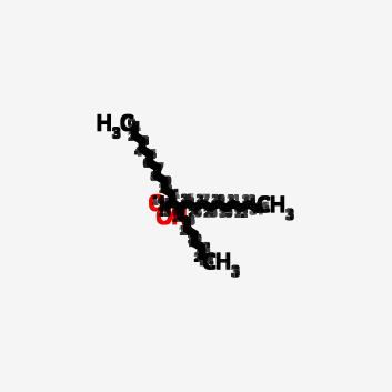 CCCCCCCCCCCCC(C(=O)O)C(CCCCCCCC)CCCCCCCCCCC